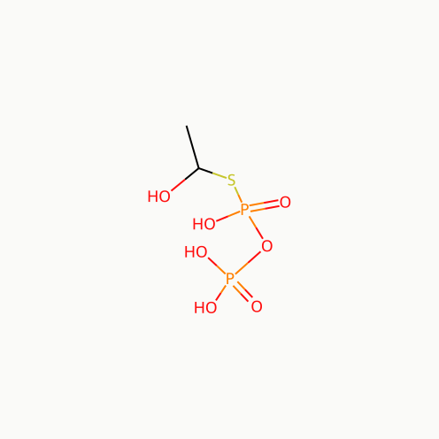 CC(O)SP(=O)(O)OP(=O)(O)O